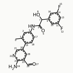 Cc1cc(NC(=O)C(O)c2cc(F)cc(F)c2)ccc1-c1cnc(N)c(C=O)c1